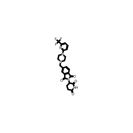 O=C1CCC(N2C(=O)c3ccc(CN4CCN(c5cccc(C(F)(F)F)n5)CC4)cc3C2=O)C(=O)N1